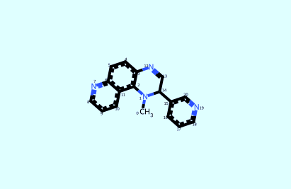 CN1c2c(ccc3ncccc23)N=CC1c1cccnc1